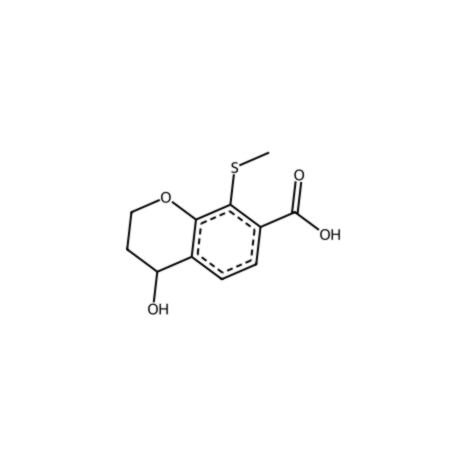 CSc1c(C(=O)O)ccc2c1OCCC2O